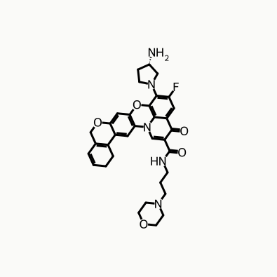 N[C@H]1CCN(c2c(F)cc3c(=O)c(C(=O)NCCCN4CCOCC4)cn4c3c2Oc2cc3c(cc2-4)C2=C(C=CCC2)CO3)C1